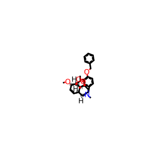 CO[C@]12C=C[C@@]3(C[C@@H]1C(C)=O)[C@H]1Cc4ccc(OCc5ccccc5)c5c4[C@@]3(CCN1C)[C@H]2O5